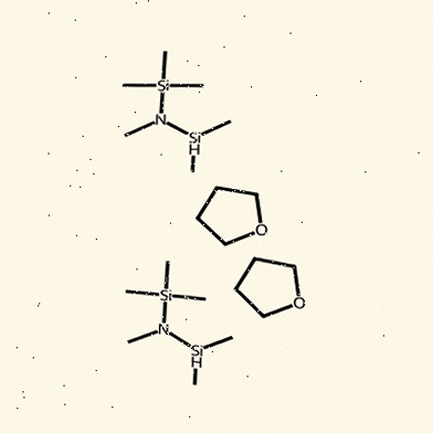 C1CCOC1.C1CCOC1.CN([SiH](C)C)[Si](C)(C)C.CN([SiH](C)C)[Si](C)(C)C